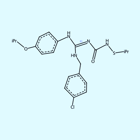 CC(C)Oc1ccc(N/C(=N/C(=O)NSC(C)C)NCc2ccc(Cl)cc2)cc1